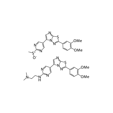 COc1ccc(-c2nn3c(-c4cnc(NCCN(C)C)nc4)cnc3s2)cc1OC.COc1ccc(-c2nn3c(-c4cnc([S+](C)[O-])nc4)cnc3s2)cc1OC